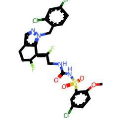 COc1ccc(Cl)cc1S(=O)(=O)NC(=O)NCC(F)=C1c2c(cnn2Cc2ccc(Cl)cc2Cl)CCC1F